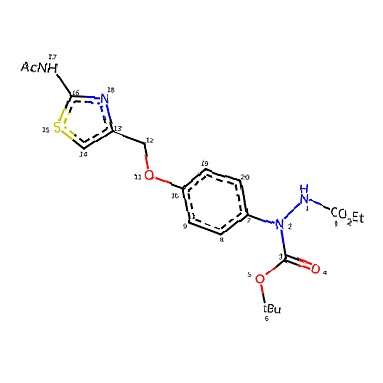 CCOC(=O)NN(C(=O)OC(C)(C)C)c1ccc(OCc2csc(NC(C)=O)n2)cc1